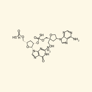 Nc1nc2c(ncn2[C@@H]2O[C@H](CO[PH](=O)S)C[C@@H]2OP(=O)(S)OC[C@]2(CO)CC(n3cnc4c(N)ncnc43)CO2)c(=O)[nH]1